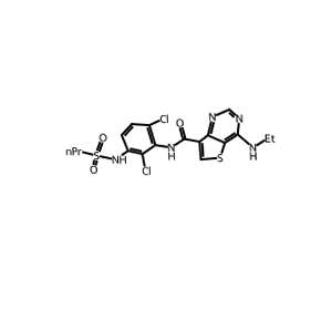 CCCS(=O)(=O)Nc1ccc(Cl)c(NC(=O)c2csc3c(NCC)ncnc23)c1Cl